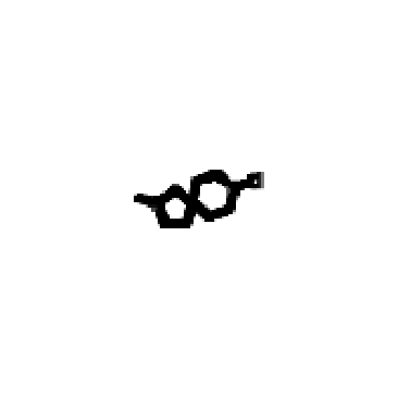 CN1CCC2(CCN(Cl)CC2)C1